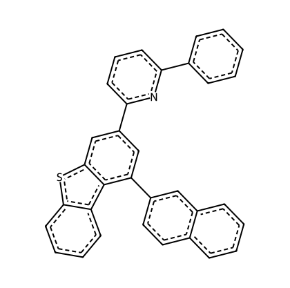 c1ccc(-c2cccc(-c3cc(-c4ccc5ccccc5c4)c4c(c3)sc3ccccc34)n2)cc1